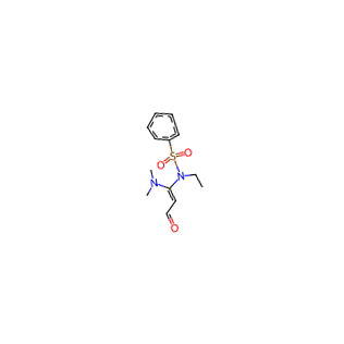 CCN(C(=CC=O)N(C)C)S(=O)(=O)c1ccccc1